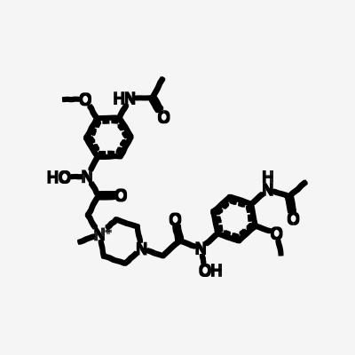 COc1cc(N(O)C(=O)CN2CC[N+](C)(CC(=O)N(O)c3ccc(NC(C)=O)c(OC)c3)CC2)ccc1NC(C)=O